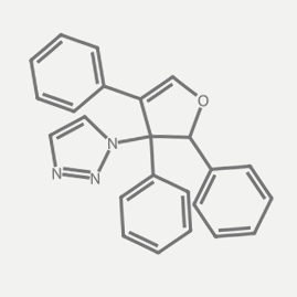 C1=C(c2ccccc2)C(c2ccccc2)(n2ccnn2)C(c2ccccc2)O1